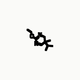 CCOC1=NCC(C)(C(C)C)C=N1